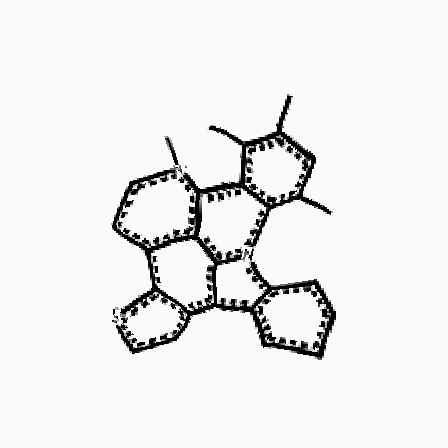 Cc1cc(C)c2c(c1C)c1c3c(cc[n+]1C)c1sccc1c1c4ccccc4n2c13